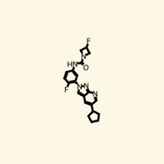 O=C(Nc1ccc(F)c(-n2cc3cc(C4CCCC4)cnc3n2)c1)N1CC(F)C1